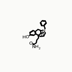 C[C@H]1C2Cc3ccc(O)cc3C1(CCCC(N)=O)CCCN2Cc1ccccc1